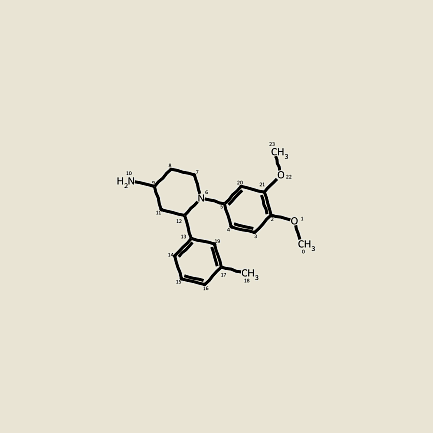 COc1ccc(N2CCC(N)CC2c2cccc(C)c2)cc1OC